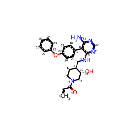 C=CC(=O)N1CC[C@@H](CNc2ncnc(N)c2-c2ccc(Oc3ccccc3)cc2)[C@H](O)C1